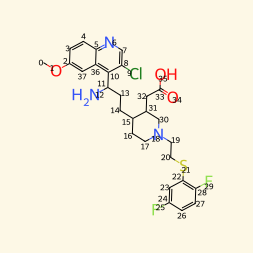 COc1ccc2ncc(Cl)c(C(N)CCC3CCN(CCSc4cc(F)ccc4F)CC3CC(=O)O)c2c1